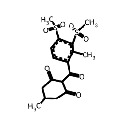 Cc1c(C(=O)C2C(=O)CC(C)CC2=O)ccc(S(C)(=O)=O)c1S(C)(=O)=O